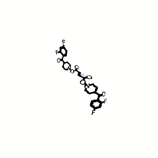 O=C(/C=C/C(=O)ON1CCC(C(=O)c2ccc(F)cc2F)CC1)ON1CCC(C(=O)c2ccc(F)cc2F)CC1